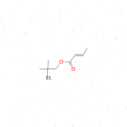 C/C=C/C(=O)OCC(C)(C)CC